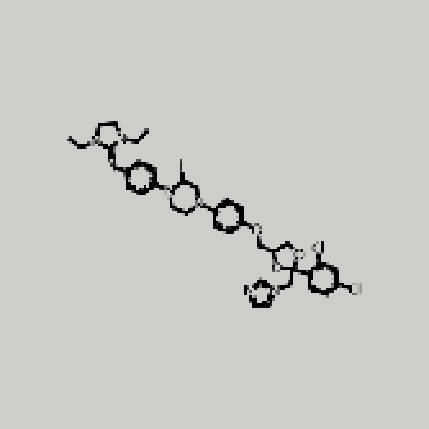 CCN1CCN(CC)C1=Nc1ccc(N2CCN(c3ccc(OCC4COC(Cn5ccnc5)(c5ccc(Cl)cc5Cl)O4)cc3)CC2I)cc1